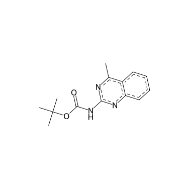 Cc1nc(NC(=O)OC(C)(C)C)nc2ccccc12